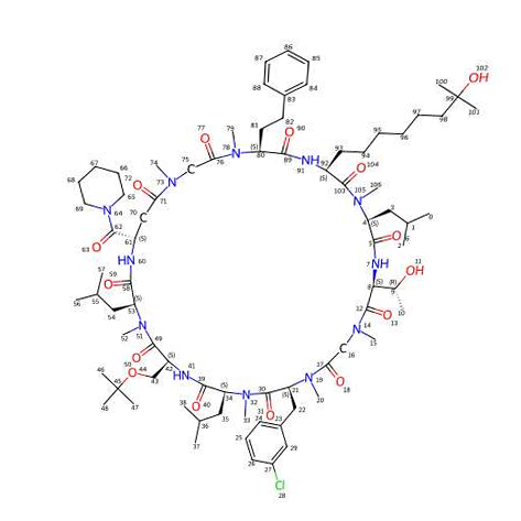 CC(C)C[C@H]1C(=O)N[C@@H]([C@@H](C)O)C(=O)N(C)CC(=O)N(C)[C@@H](Cc2cccc(Cl)c2)C(=O)N(C)[C@@H](CC(C)C)C(=O)N[C@@H](COC(C)(C)C)C(=O)N(C)[C@@H](CC(C)C)C(=O)N[C@H](C(=O)N2CCCCC2)CC(=O)N(C)CC(=O)N(C)[C@@H](CCc2ccccc2)C(=O)N[C@@H](CCCCCCC(C)(C)O)C(=O)N1C